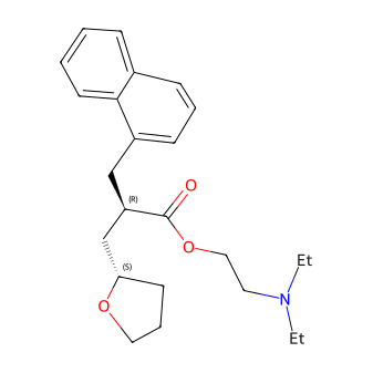 CCN(CC)CCOC(=O)[C@H](Cc1cccc2ccccc12)C[C@@H]1CCCO1